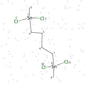 [CH3][Sn]([Cl])([Cl])[CH2]CC[CH2][Sn]([CH3])([Cl])[Cl]